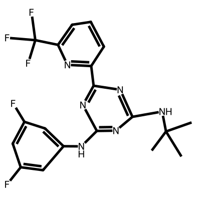 CC(C)(C)Nc1nc(Nc2cc(F)cc(F)c2)nc(-c2cccc(C(F)(F)F)n2)n1